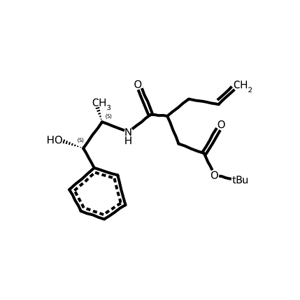 C=CCC(CC(=O)OC(C)(C)C)C(=O)N[C@@H](C)[C@@H](O)c1ccccc1